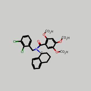 O=C(O)Oc1cc(OC(=O)O)c(C(=O)N(Cc2cccc(Cl)c2Cl)[C@H]2CCCc3ccccc32)cc1OC(=O)O